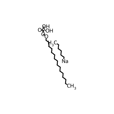 CCCCCCCCCCCCCCCCOOP(=O)(O)O.CCCCC[CH2][Na]